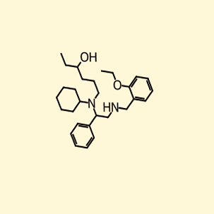 CCOc1ccccc1CNCC(c1ccccc1)N(CCCC(O)CC)C1CCCCC1